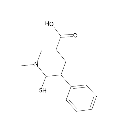 CN(C)C(S)C(CCC(=O)O)c1ccccc1